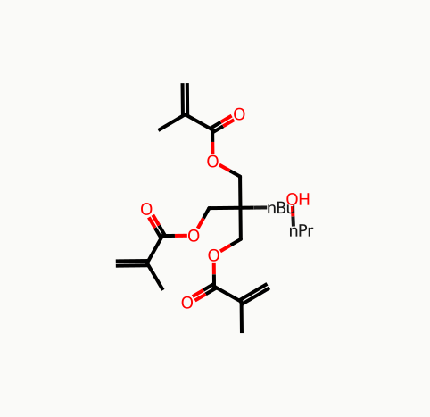 C=C(C)C(=O)OCC(CCCC)(COC(=O)C(=C)C)COC(=O)C(=C)C.CCCO